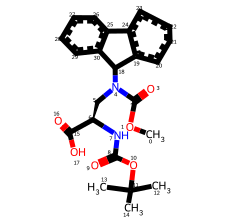 COC(=O)N(C[C@@H](NC(=O)OC(C)(C)C)C(=O)O)C1c2ccccc2-c2ccccc21